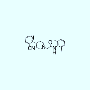 Cc1cccc(C)c1NC(=O)CN1CCC(c2ncccc2C#N)CC1